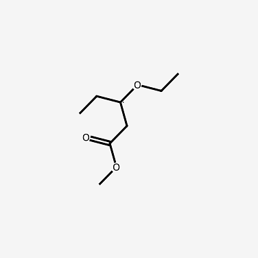 CCO[C](CC)CC(=O)OC